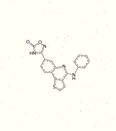 O=c1[nH]c(-c2ccc3c(c2)nc(Nc2ccccc2)c2ccsc23)no1